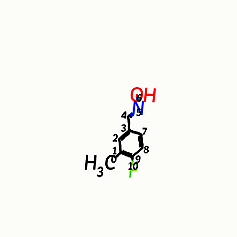 Cc1cc(/C=N/O)ccc1F